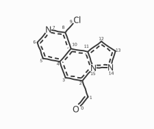 O=Cc1cc2ccnc(Cl)c2c2ccnn12